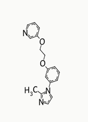 Cc1nccn1-c1cccc(OCCOc2cccnc2)c1